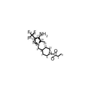 CCS(=O)(=O)N1CCC(Cn2nc(C(F)(F)F)c(N)c2C)CC1